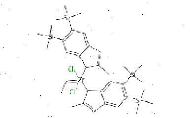 C[CH]=[Zr]([Cl])([Cl])([CH]1C(C)=Cc2cc([Si](C)(C)C)c([Si](C)(C)C)cc21)[CH]1C(C)=Cc2cc([Si](C)(C)C)c([Si](C)(C)C)cc21